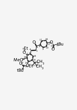 CCOc1c(C=CC(=O)c2ccc(OC(=O)C(C)(C)C)cc2)cc(C(C)(C)CC)c(OC(=O)C(C)(C)C)c1OC